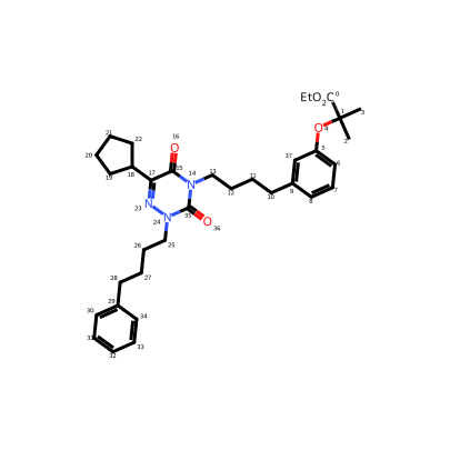 CCOC(=O)C(C)(C)Oc1cccc(CCCCn2c(=O)c(C3CCCC3)nn(CCCCc3ccccc3)c2=O)c1